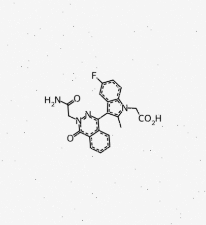 Cc1c(-c2nn(CC(N)=O)c(=O)c3ccccc23)c2cc(F)ccc2n1CC(=O)O